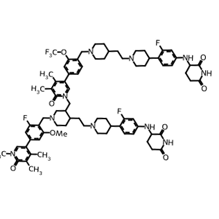 COc1cc(-c2cn(C)c(=O)c(C)c2C)cc(F)c1CN1CCC(CCN2CCC(c3ccc(NC4CCC(=O)NC4=O)cc3F)CC2)C(Cn2cc(-c3ccc(CN4CCC(CCN5CCC(c6ccc(NC7CCC(=O)NC7=O)cc6F)CC5)CC4)c(OC(F)(F)F)c3)c(C)c(C)c2=O)C1